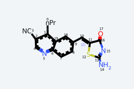 CCCc1c(C#N)cnc2ccc(/C=C3\SC(N)=NC3=O)cc12